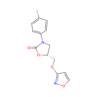 O=C1O[C@@H](COc2ccon2)CN1c1ccc(I)cc1